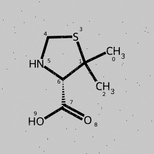 CC1(C)SCN[C@H]1C(=O)O